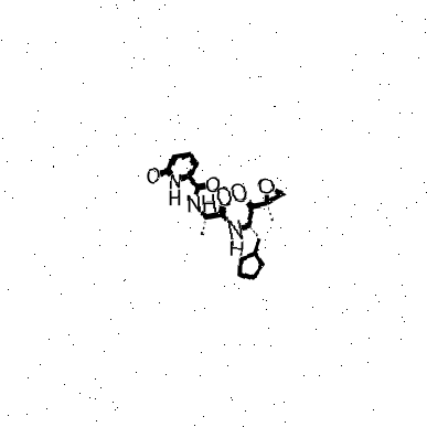 C[C@H](NC(=O)c1cccc(=O)[nH]1)C(=O)N[C@@H](CC1CCCC1)C(=O)[C@]1(C)CO1